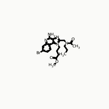 CCCN(Cc1nc2c(N)nc3cc(Br)ccc3c2n1CCCC(=O)OC)C(C)=O